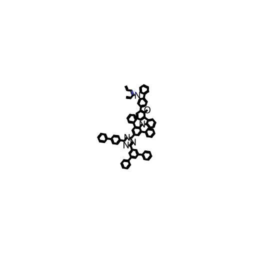 C=C/C=C(\C=C)n1c2ccccc2c2cc3oc4c(ccc5c4c4ccccc4n5-c4c(-c5ccccc5)cc(-c5nc(-c6ccc(-c7ccccc7)cc6)nc(-c6cc(-c7ccccc7)cc(-c7ccccc7)c6)n5)cc4-c4ccccc4)c3cc21